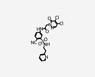 N#Cc1ccc(NC(=O)Cn2ncc(Cl)c(Cl)c2=O)cc1S(=O)(=O)NCCc1ccccn1